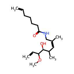 C=CCCCCC(=O)NC/C(C)=C\C(C)[C@H](O)C(C=C)OC